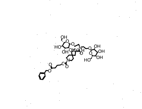 O=C(O)CC1(CCC(=O)N(CCO[C@H]2O[C@H](CO)[C@@H](O)[C@H](O)[C@@H]2O)CCO[C@@H]2O[C@@H](CO)[C@H](O)[C@@H](O)[C@H]2O)CCN(C(=O)CCCCC(=O)OCc2ccccc2)CC1